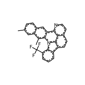 Cc1ccc2cc3c4nccc5ccc6c7cccc(C(F)(F)F)c7n(c3c(C)c2c1)c6c54